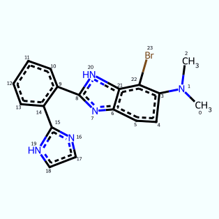 CN(C)c1ccc2nc(-c3ccccc3-c3ncc[nH]3)[nH]c2c1Br